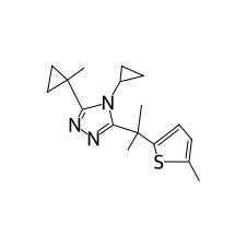 Cc1ccc(C(C)(C)c2nnc(C3(C)CC3)n2C2CC2)s1